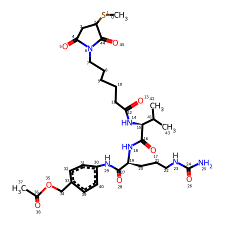 CSC1CC(=O)N(CCCCCC(=O)N[C@H](C(=O)N[C@@H](CCCNC(N)=O)C(=O)Nc2ccc(COC(C)=O)cc2)C(C)C)C1=O